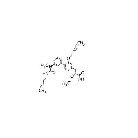 CCCCCNC(=O)N(C)c1cccc(-c2ccc(C=C(OCC)C(=O)O)cc2OCCOCC)c1